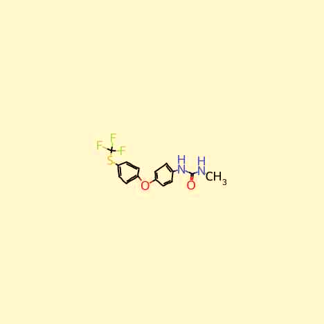 CNC(=O)Nc1ccc(Oc2ccc(SC(F)(F)F)cc2)cc1